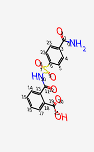 NC(=O)c1ccc(S(=O)(=O)NC(=O)c2ccccc2C(=O)O)cc1